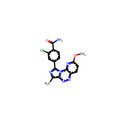 COc1ccc2nnc3c(C)nc(-c4ccc(C(N)=O)c(Cl)c4)n3c2n1